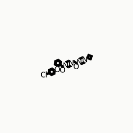 O=C(CN1CCN(C(=O)c2ccccc2Oc2ccc(Cl)cc2)CC1)N1CCN(C2CCC2)CC1